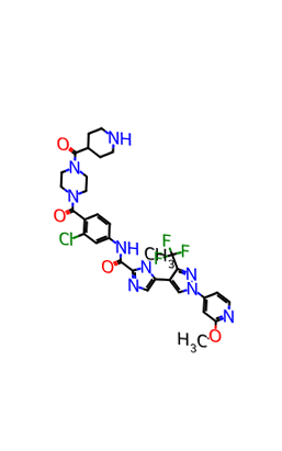 COc1cc(-n2cc(-c3cnc(C(=O)Nc4ccc(C(=O)N5CCN(C(=O)C6CCNCC6)CC5)c(Cl)c4)n3C)c(C(F)(F)F)n2)ccn1